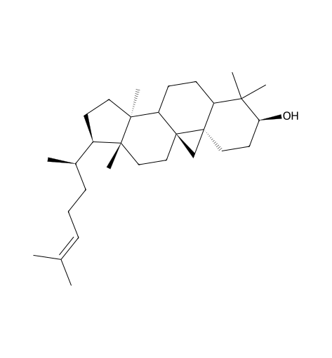 CC(C)=CCC[C@@H](C)[C@H]1CC[C@@]2(C)C3CCC4C(C)(C)[C@@H](O)CC[C@@]45C[C@@]35CC[C@]12C